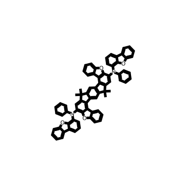 CC1(C)c2cc3c(cc2-c2c1cc(N(c1ccccc1)c1cccc4c1oc1ccccc14)c1oc4ccccc4c21)C(C)(C)c1cc(N(c2ccccc2)c2cccc4c2oc2ccccc24)c2oc4ccccc4c2c1-3